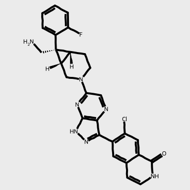 NC[C@]1(c2ccccc2F)[C@@H]2CCN(c3cnc4c(-c5cc6cc[nH]c(=O)c6cc5Cl)n[nH]c4n3)C[C@@H]21